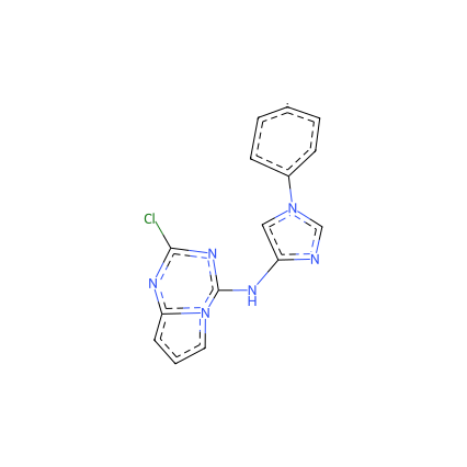 Clc1nc(Nc2cn(-c3cc[c]cc3)cn2)n2cccc2n1